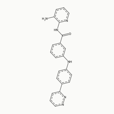 Nc1cccnc1NC(=O)c1cccc(Nc2ccc(-c3cccnn3)cc2)c1